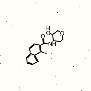 O=C(NC1CCOCC1O)c1ccc2ccccc2c1F